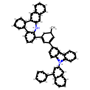 CC1C=C(c2ccc3c(c2)c2ccccc2n3-c2cc(-c3ccccc3)c3ccccc3c2)C=C(c2cccc3c2Nc2cc4ccccc4cc2-c2ccccc2-3)C1